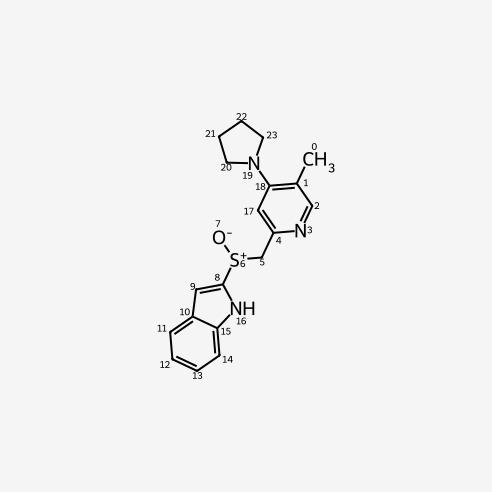 Cc1cnc(C[S+]([O-])c2cc3ccccc3[nH]2)cc1N1CCCC1